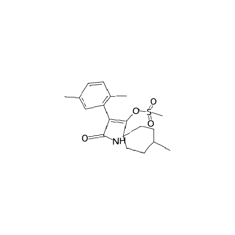 Cc1ccc(C)c(C2=C(OS(C)(=O)=O)C3(CCC(C)CC3)NC2=O)c1